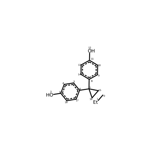 CCC.Oc1ccc(C2(c3ccc(O)cc3)CC2)cc1